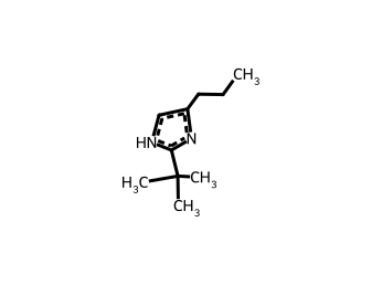 CCCc1c[nH]c(C(C)(C)C)n1